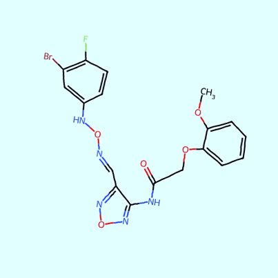 COc1ccccc1OCC(=O)Nc1nonc1/C=N/ONc1ccc(F)c(Br)c1